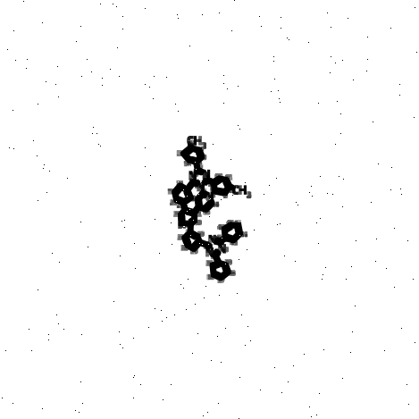 Cc1ccc(-c2nc(-c3ccc(C)cc3)nc(-c3cccc(-c4ccc(-c5cccc(-c6nc(-c7ccccc7)nc(-c7ccccc7)n6)c5)cc4-c4ccncc4)c3)n2)cc1